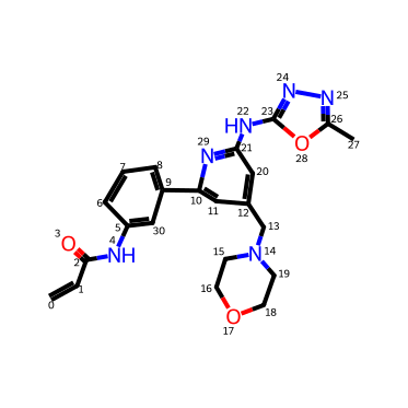 C=CC(=O)Nc1cccc(-c2cc(CN3CCOCC3)cc(Nc3nnc(C)o3)n2)c1